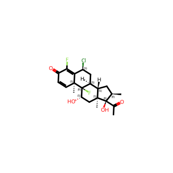 CC(=O)[C@@]1(O)[C@H](C)C[C@H]2[C@@H]3C[C@H](Cl)C4=C(F)C(=O)C=C[C@]4(C)[C@@]3(F)[C@@H](O)C[C@@]21C